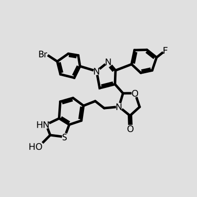 O=C1COC(c2cn(-c3ccc(Br)cc3)nc2-c2ccc(F)cc2)N1CCc1ccc2c(c1)SC(O)N2